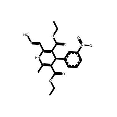 CCOC(=O)C1=C(C)NC(C=NO)=C(C(=O)OCC)C1c1cccc([N+](=O)[O-])c1